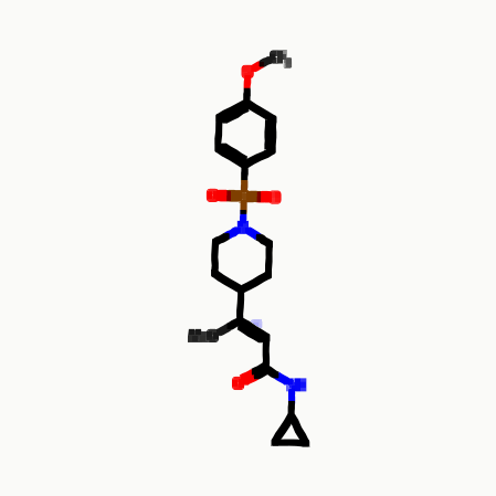 CO/C(=C\C(=O)NC1CC1)C1CCN(S(=O)(=O)c2ccc(OC(F)(F)F)cc2)CC1